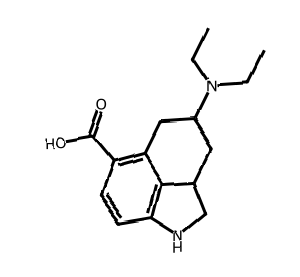 CCN(CC)C1Cc2c(C(=O)O)ccc3c2C(CN3)C1